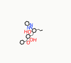 C=CCc1cc(Cc2cccc(C(=O)c3ccccc3)c2O)c(O)c(-n2nc3ccccc3n2)c1